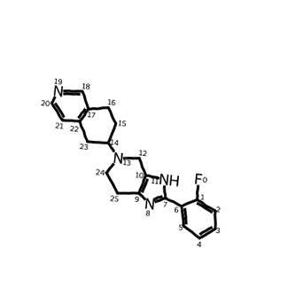 Fc1ccccc1-c1nc2c([nH]1)CN(C1CCc3cnccc3C1)CC2